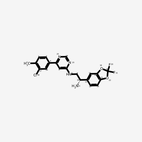 Cc1ccc(-c2cc(NC[C@@H](N)c3ccc4c(c3)OC(F)(F)O4)ncn2)cc1Cl